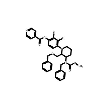 COC(=O)N(Cc1ccccc1)C1CCCN(c2ccc(OC(=O)c3ccncc3)c(F)c2F)C1COCc1ccccc1